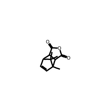 CC1(C)C2C=CC1(C)C1C(=O)OC(=O)C21